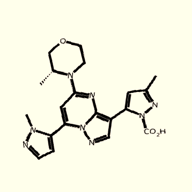 Cc1cc(-c2cnn3c(-c4ccnn4C)cc(N4CCOC[C@H]4C)nc23)n(C(=O)O)n1